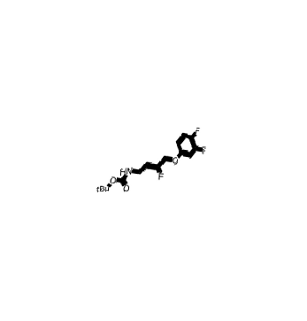 CC(C)(C)OC(=O)NC/C=C(\F)COc1ccc(F)c(F)c1